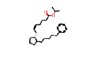 CC(C)OC(=O)CCC/C=C\C[C@H]1CCCC1CCCCCc1ccccc1